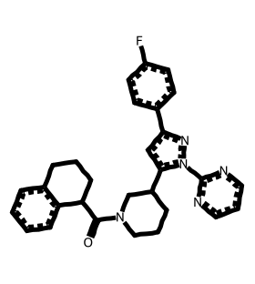 O=C(C1CCCc2ccccc21)N1CCCC(c2cc(-c3ccc(F)cc3)nn2-c2ncccn2)C1